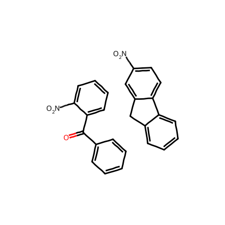 O=C(c1ccccc1)c1ccccc1[N+](=O)[O-].O=[N+]([O-])c1ccc2c(c1)Cc1ccccc1-2